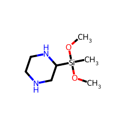 CO[Si](C)(OC)C1CNCCN1